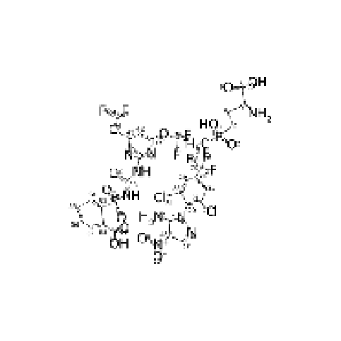 CP(=O)(O)CCC(N)C(=O)O.Nc1c([N+](=O)[O-])cnn1-c1c(Cl)cc(C(F)(F)F)cc1Cl.O=C(Nc1nc(OC(F)F)cc(OC(F)F)n1)NS(=O)(=O)c1ccccc1C(=O)O